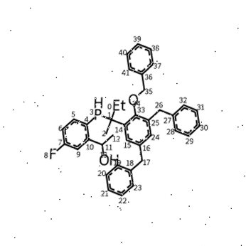 CCC(C)(Pc1ccc(F)cc1C(C)O)c1cc(Cc2ccccc2)cc(Cc2ccccc2)c1OCc1ccccc1